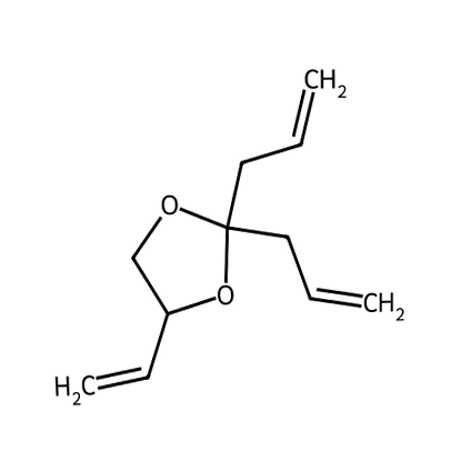 C=CCC1(CC=C)OCC(C=C)O1